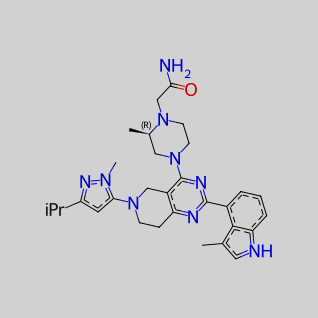 Cc1c[nH]c2cccc(-c3nc4c(c(N5CCN(CC(N)=O)[C@H](C)C5)n3)CN(c3cc(C(C)C)nn3C)CC4)c12